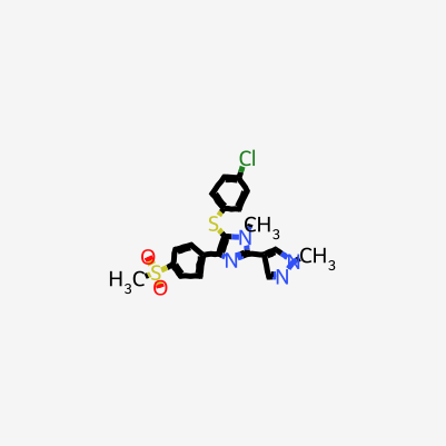 Cn1cc(-c2nc(-c3ccc(S(C)(=O)=O)cc3)c(Sc3ccc(Cl)cc3)n2C)cn1